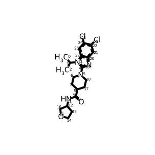 CC(C)n1c(N2CCC(C(=O)NC3CCOC3)CC2)nc2cc(Cl)c(Cl)cc21